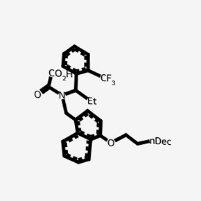 CCCCCCCCCCCCOc1ccc(CN(C(=O)C(=O)O)C(CC)c2ccccc2C(F)(F)F)c2ccccc12